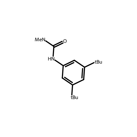 CNC(=O)Nc1cc(C(C)(C)C)cc(C(C)(C)C)c1